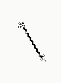 CC(=O)SCCCCCCCCCCCOCCOS(=O)(=O)Cl